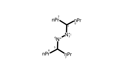 CCCC(CCC)[N+][N+]C(CCC)CCC